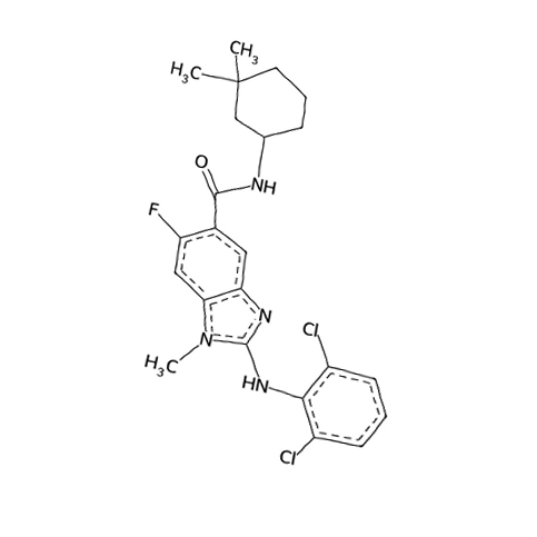 Cn1c(Nc2c(Cl)cccc2Cl)nc2cc(C(=O)NC3CCCC(C)(C)C3)c(F)cc21